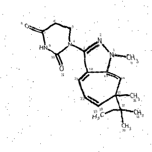 Cn1nc(N2CCC(=O)NC2=O)c2c1=CC(C)(C(C)(C)C)C=CC=2